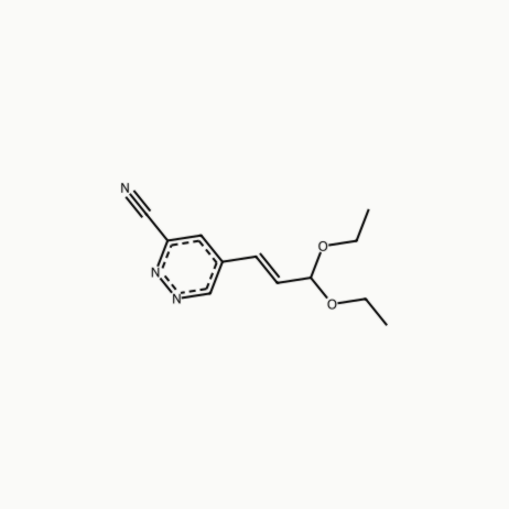 CCOC(/C=C/c1cnnc(C#N)c1)OCC